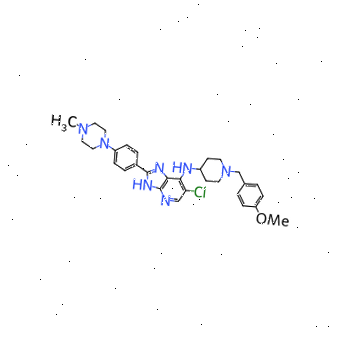 COc1ccc(CN2CCC(Nc3c(Cl)cnc4[nH]c(-c5ccc(N6CCN(C)CC6)cc5)nc34)CC2)cc1